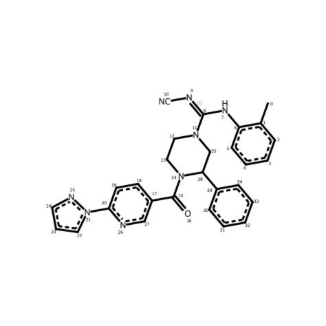 Cc1ccccc1N/C(=N/C#N)N1CCN(C(=O)c2ccc(-n3cccn3)nc2)C(c2ccccc2)C1